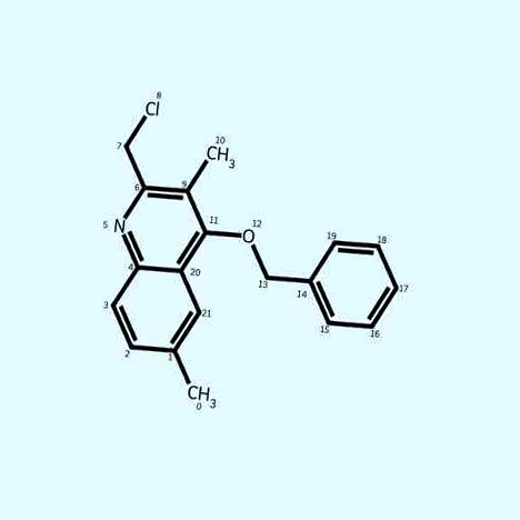 Cc1ccc2nc(CCl)c(C)c(OCc3ccccc3)c2c1